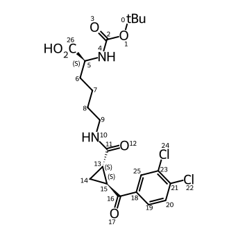 CC(C)(C)OC(=O)N[C@@H](CCCCNC(=O)[C@H]1C[C@@H]1C(=O)c1ccc(Cl)c(Cl)c1)C(=O)O